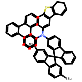 CC(C)(C)c1ccc2c(c1)C1(c3ccccc3-c3ccc(N(c4ccc5sc6c(c5c4)C=CCC6)c4ccccc4-c4ccccc4-c4ccccc4-c4ccccc4)cc31)c1cc(C(C)(C)C)ccc1-2